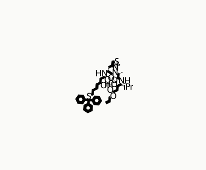 C=CCOC(=O)C[C@H](O)[C@H](NC(=O)[C@@H](C)NC(=O)[C@@H](Cc1cscn1)NC(=O)C[C@H](O)/C=C/CCSC(c1ccccc1)(c1ccccc1)c1ccccc1)C(C)C